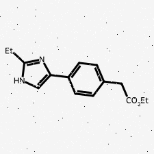 CCOC(=O)Cc1ccc(-c2c[nH]c(CC)n2)cc1